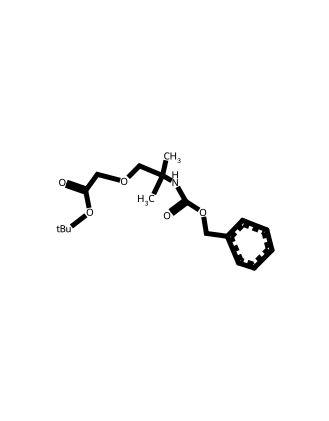 CC(C)(COCC(=O)OC(C)(C)C)NC(=O)OCc1ccccc1